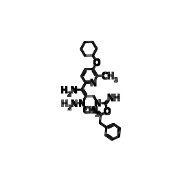 Cc1nc(/C(N)=C(\Cn2nc(Cc3ccccc3)oc2=N)N(C)N)ccc1OC1CCCCC1